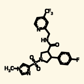 Cn1cnc(S(=O)(=O)N2CC(C(=O)NCc3cc(C(F)(F)F)ccn3)C(c3ccc(F)cc3)C2)c1